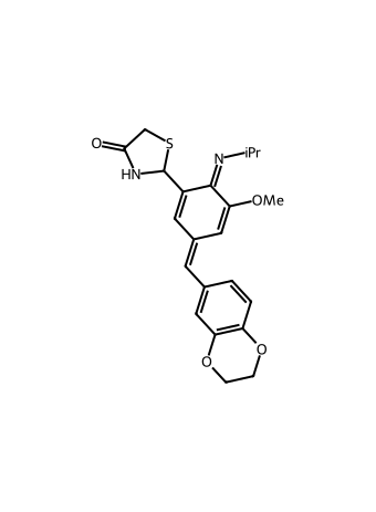 COC1=CC(=C\c2ccc3c(c2)OCCO3)/C=C(C2NC(=O)CS2)C/1=N/C(C)C